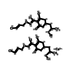 CCSC(C)CC1CC(=O)C(C(CC)=NOC/C=C/Cl)=C([O-])C1.CCSC(C)CC1CC(=O)C(C(CC)=NOC/C=C/Cl)=C([O-])C1.[Cu+2]